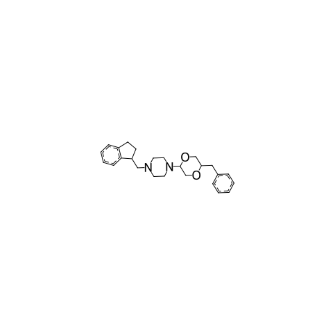 c1ccc(CC2COC(N3CCN(CC4CCc5ccccc54)CC3)CO2)cc1